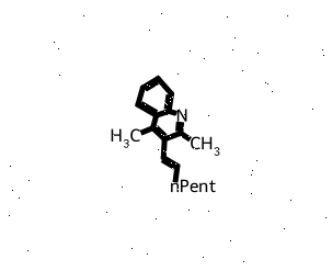 CCCCC/C=C/c1c(C)nc2ccccc2c1C